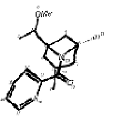 COC(C)C12C[C@H](C)C[C@H](C1)N2C(=O)c1ccccn1